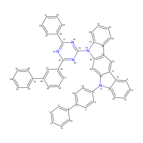 c1ccc(-c2ccc(-n3c4ccccc4c4cc5c6ccccc6n(-c6nc(-c7ccccc7)nc(-c7cccc(-c8ccccc8)c7)n6)c5cc43)cc2)cc1